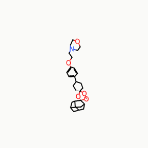 c1cc(C2CC[C@]3(CC2)OO[C@]2(O3)C3CC4CC(C3)CC2C4)ccc1OCCN1CCOCC1